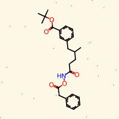 CC(CCC(=O)NOC(=O)Cc1ccccc1)Cc1cccc(C(=O)OC(C)(C)C)c1